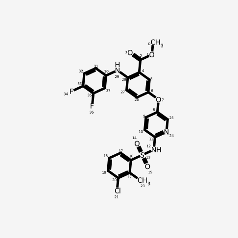 COC(=O)c1cc(Oc2ccc(NS(=O)(=O)c3cccc(Cl)c3C)nc2)ccc1Nc1ccc(F)c(F)c1